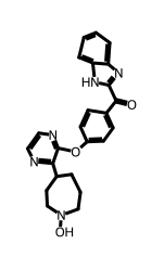 O=C(c1ccc(Oc2nccnc2C2CCCN(O)CC2)cc1)c1nc2ccccc2[nH]1